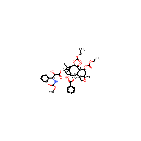 CC(=O)O[C@@]12CO[C@@H]1C[C@H](OC(=O)OCC(Cl)(Cl)Cl)[C@@]1(C)C(=O)[C@H](OC(=O)OCC(Cl)(Cl)Cl)C3=C(C)[C@@H](OC(=O)C(O)[C@@H](NC(=O)OC(C)(C)C)c4ccccc4)C[C@@](O)([C@@H](OC(=O)c4ccccc4)C12)C3(C)C